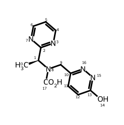 C[C@@H](c1ncccn1)N(Cc1ccc(O)nn1)C(=O)O